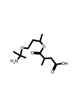 CC(CCOC(C)(C)N)OC(=O)C(C)CC(=O)O